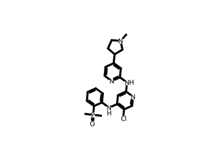 CN1CCC(c2ccnc(Nc3cc(Nc4ccccc4P(C)(C)=O)c(Cl)cn3)c2)C1